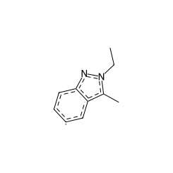 CCn1nc2cc[c]cc2c1C